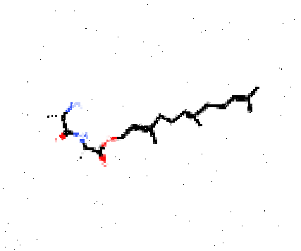 CC(C)=CCC/C(C)=C/CC/C(C)=C/COC(=O)[C@H](C)NC(=O)[C@H](C)N